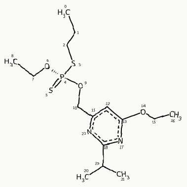 CCCS[P@@](=S)(OCC)OCc1cc(OCC)nc(C(C)C)n1